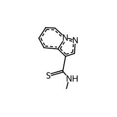 CNC(=S)c1cnn2ccccc12